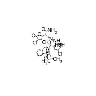 CC(C)CS(=O)(=O)c1ccccc1CNC(=O)c1cc(Cl)c[nH]c1=N.Cl.N#CC(C(N)=O)C1OC(=O)C(Cl)=C1Cl